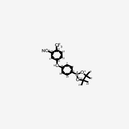 CC1(C)OB(c2ccc(Oc3ccc(C(F)(F)F)c(C#N)c3)cc2)OC1(C)C